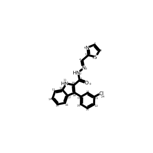 O=C(NN=Cc1nccs1)c1[nH]c2ccccc2c1-c1cccc(Cl)c1